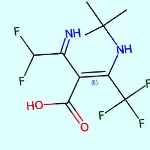 CC(C)(C)N/C(=C(\C(=N)C(F)F)C(=O)O)C(F)(F)F